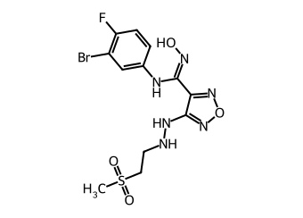 CS(=O)(=O)CCNNc1nonc1/C(=N/O)Nc1ccc(F)c(Br)c1